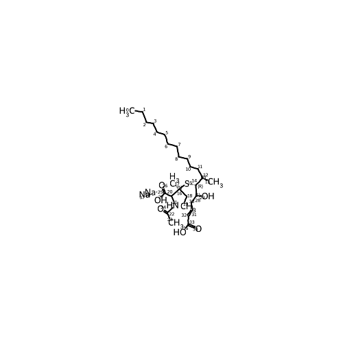 CCCCCCCCCCCC[C@@H](C)[C@@H](S[C@@](C)(CC)C(NC(C)=O)C(=O)O)[C@@H](O)CC=CC(=O)O.[Na].[Na]